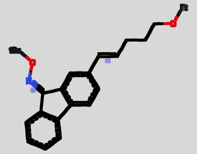 CCOCCC/C=C/c1ccc2c(c1)/C(=N\OC(C)(C)C)c1ccccc1-2